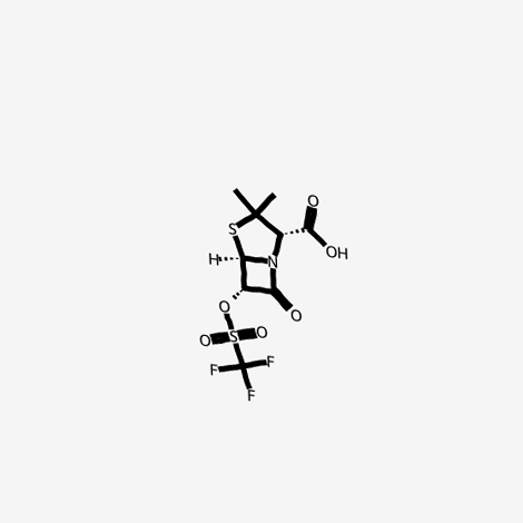 CC1(C)S[C@@H]2[C@@H](OS(=O)(=O)C(F)(F)F)C(=O)N2[C@H]1C(=O)O